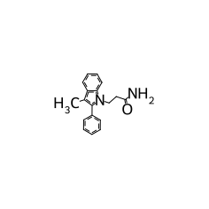 Cc1c(-c2ccccc2)n(CCC(N)=O)c2ccccc12